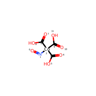 O=[N][Co]([C](=O)O)([C](=O)O)[C](=O)O